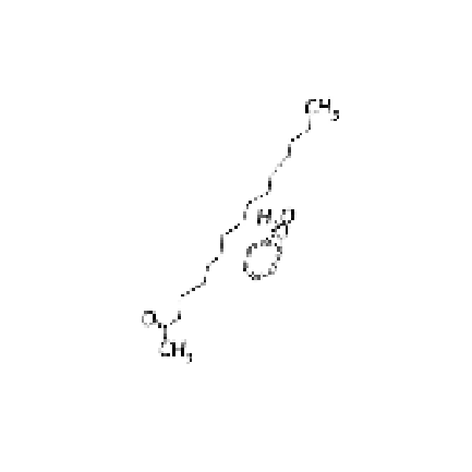 CCCCCCCCCCCCCCC(C)=O.O.c1ccc2c(c1)O2